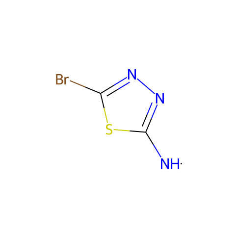 [NH]c1nnc(Br)s1